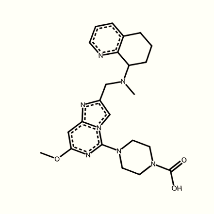 COc1cc2nc(CN(C)C3CCCc4cccnc43)cn2c(N2CCN(C(=O)O)CC2)n1